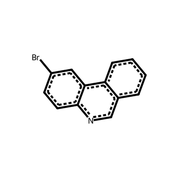 Brc1ccc2ncc3ccccc3c2c1